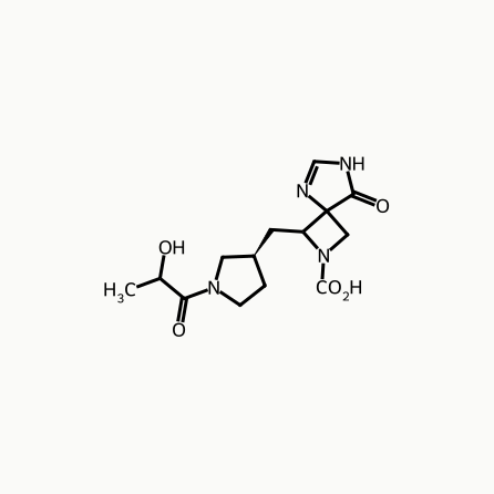 CC(O)C(=O)N1CC[C@H](CC2N(C(=O)O)CC23N=CNC3=O)C1